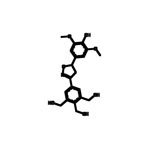 COc1cc(C2CC(c3cc(CO)c(CO)c(CO)c3)=NO2)cc(OC)c1O